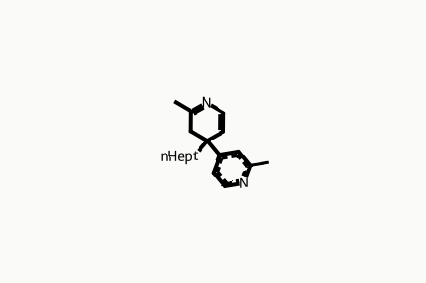 CCCCCCCC1(c2ccnc(C)c2)C=CN=C(C)C1